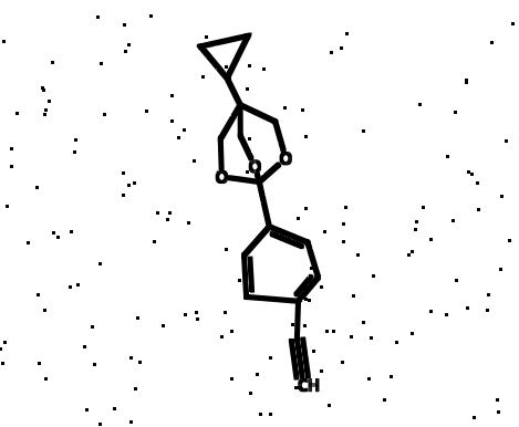 C#Cc1ccc(C23OCC(C4CC4)(CO2)CO3)cc1